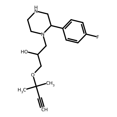 C#CC(C)(C)OCC(O)CN1CCNCC1c1ccc(F)cc1